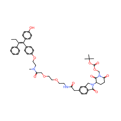 CC/C(=C(\c1ccc(O)cc1)c1ccc(OCCN(C)C(=O)COCCOCCNC(=O)Cc2ccc3c(c2)CN(C2CCC(=O)N(COC(=O)OC(C)(C)C)C2=O)C3=O)cc1)c1ccccc1